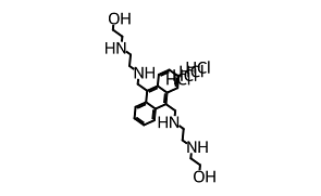 Cl.Cl.Cl.Cl.OCCNCCNCc1c2ccccc2c(CNCCNCCO)c2ccccc12